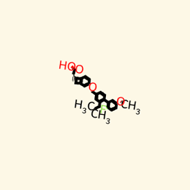 COc1ccc(F)c(-c2ccc(COc3ccc4c(c3)C[C@@H]4CC(=O)O)cc2CC(C)C)c1